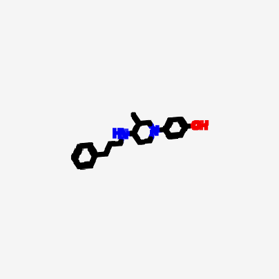 CC1CN(c2ccc(O)cc2)CCC1NCCCc1ccccc1